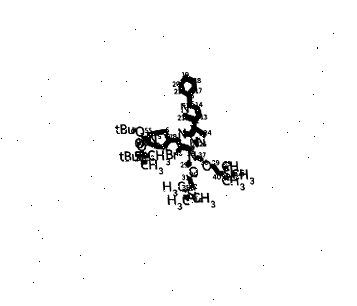 CC(C)(C)OC(=O)N1C2CC(c3nc4c(-c5ccc(-c6ccccc6)nc5)cnn4c(N(COCC[Si](C)(C)C)COCC[Si](C)(C)C)c3Br)CC1C(O[Si](C)(C)C(C)(C)C)C2